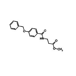 COC(=O)CCNC(=O)c1ccc(OCc2ccccc2)cc1